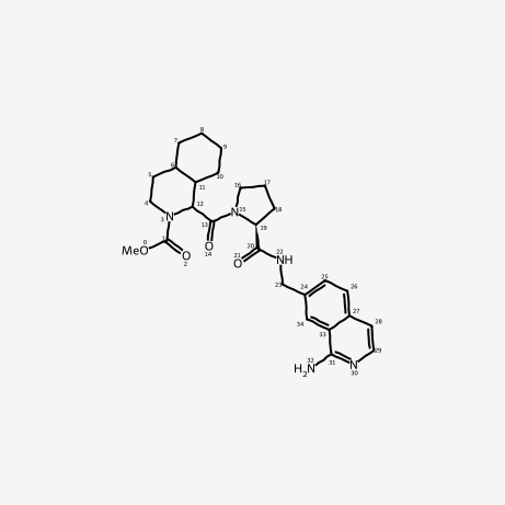 COC(=O)N1CCC2CCCCC2C1C(=O)N1CCC[C@H]1C(=O)NCc1ccc2ccnc(N)c2c1